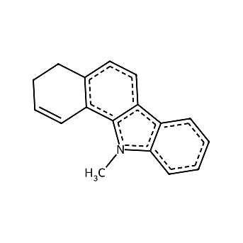 Cn1c2ccccc2c2ccc3c(c21)C=CCC3